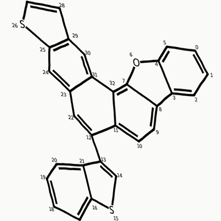 c1ccc2c(c1)oc1c2ccc2c(-c3csc4ccccc34)cc3cc4sccc4cc3c21